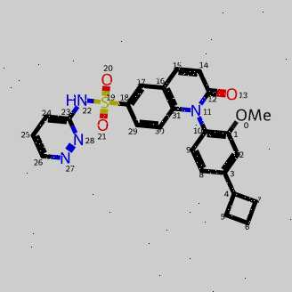 COc1cc(C2CCC2)ccc1-n1c(=O)ccc2cc(S(=O)(=O)Nc3cccnn3)ccc21